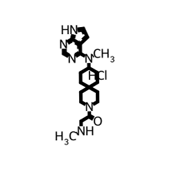 CNCC(=O)N1CCC2(CCC(N(C)c3ncnc4[nH]ccc34)CC2)CC1.Cl